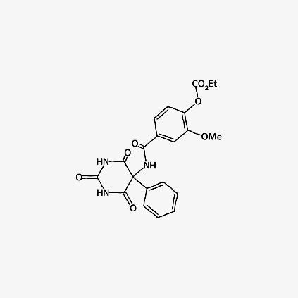 CCOC(=O)Oc1ccc(C(=O)NC2(c3ccccc3)C(=O)NC(=O)NC2=O)cc1OC